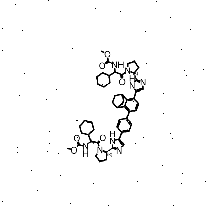 COC(=O)NC(C(=O)N1CCC[C@H]1c1ncc(-c2ccc(-c3ccc(-c4cnc([C@H]5CCCN5C(=O)[C@@H](NC(=O)OC)C5CCCCC5)[nH]4)cc3)c3c2C2CCC3CC2)[nH]1)C1CCCCC1